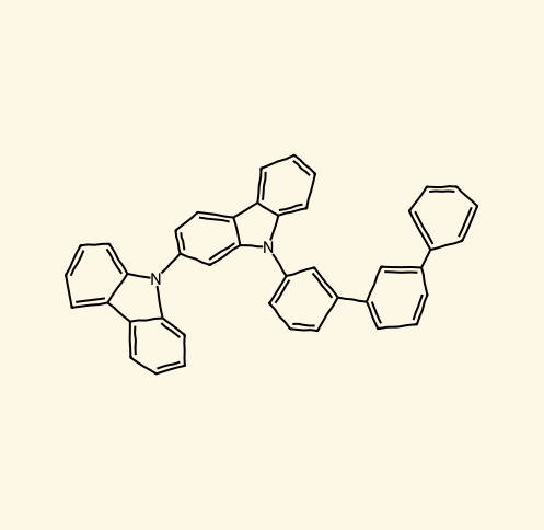 c1ccc(-c2cccc(-c3cccc(-n4c5ccccc5c5ccc(-n6c7ccccc7c7ccccc76)cc54)c3)c2)cc1